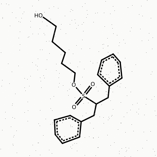 O=S(=O)(OCCCCCO)C(Cc1ccccc1)Cc1ccccc1